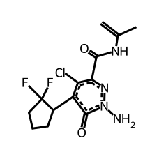 C=C(C)NC(=O)c1nn(N)c(=O)c(C2CCCC2(F)F)c1Cl